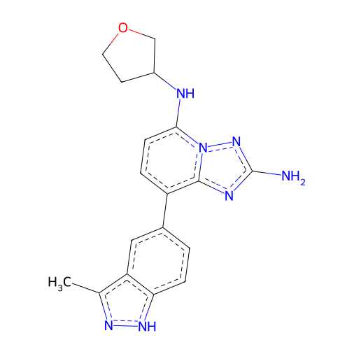 Cc1n[nH]c2ccc(-c3ccc(NC4CCOC4)n4nc(N)nc34)cc12